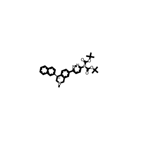 CN1Cc2cc(-c3ccc(N(C(=O)OC(C)(C)C)C(=O)OC(C)(C)C)nn3)ccc2[C@H](c2ccc3ccccc3c2)C1